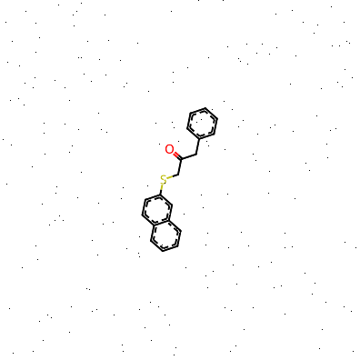 O=C(CSc1ccc2ccccc2c1)Cc1ccccc1